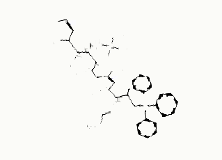 CC/C=C\C(C)[C@H](C)[C@@H](C)[C@H](O[Si](C)(C)C(C)(C)C)[C@@H](C)C/C(C)=C\[C@H](C)[C@@H](OCOC)C(C)C[PH](c1ccccc1)(c1ccccc1)c1ccccc1